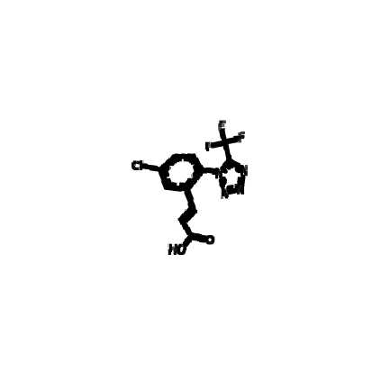 O=C(O)/C=C/c1cc(Cl)ccc1-n1nnnc1C(F)(F)F